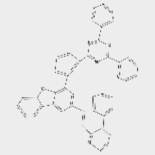 c1ccc(-c2nc(-c3ccccc3)nc(-c3cccc(-c4cc(-c5cc6ncccc6c6ccccc56)cc5c4oc4ccccc45)c3)n2)cc1